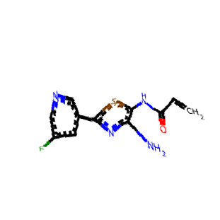 C=CC(=O)Nc1sc(-c2cncc(F)c2)nc1N